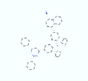 N#Cc1ccc(-c2ccc3c(c2)-c2cc(-c4cc(-c5ccccc5)nc(-c5ccccc5)n4)ccc2C32c3ccccc3Sc3ccccc32)c2ccccc12